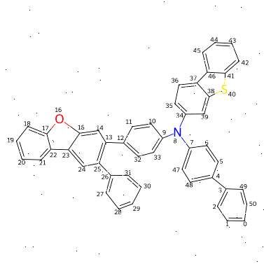 c1ccc(-c2ccc(N(c3ccc(-c4cc5oc6ccccc6c5cc4-c4ccccc4)cc3)c3ccc4c(c3)sc3ccccc34)cc2)cc1